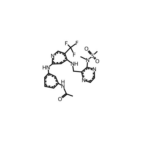 CC(=O)Nc1cccc(Nc2cc(NCc3nccnc3N(C)S(C)(=O)=O)c(C(F)(F)F)cn2)c1